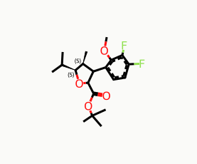 COc1c(C2C(C(=O)OC(C)(C)C)O[C@@H](C(C)C)[C@H]2C)ccc(F)c1F